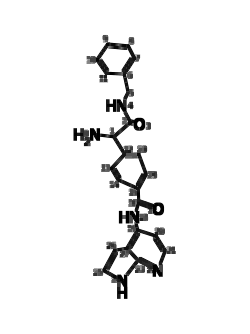 NC(C(=O)NCc1ccccc1)c1ccc(C(=O)Nc2ccnc3[nH]ccc23)cc1